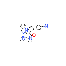 C[C@@H](Nc1cc(C(=O)N2CCC[C@H]2CN2CCCC2)c2cc(-c3ccc(C#N)cc3)ccc2n1)c1ccccc1